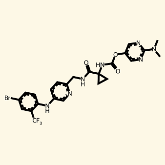 CN(C)c1ncc(OC(=O)NC2(C(=O)NCc3ccc(Nc4ccc(Br)cc4C(F)(F)F)cn3)CC2)cn1